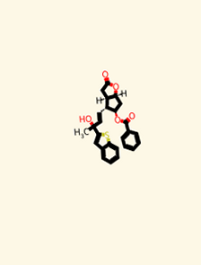 CC(O)(/C=C/[C@@H]1[C@H]2CC(=O)O[C@H]2C[C@H]1OC(=O)c1ccccc1)c1cc2ccccc2s1